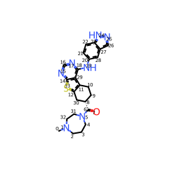 CN1CCCN(C(=O)[C@H]2CCc3c(sc4ncnc(Nc5ccc6[nH]ncc6c5)c34)C2)CC1